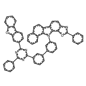 c1ccc(-c2nc(-c3cccc(-c4cccc(-n5c6c7ccccc7ccc6c6ccc7nc(-c8ccccc8)oc7c65)c4)c3)nc(-c3ccc4c(c3)oc3ccccc34)n2)cc1